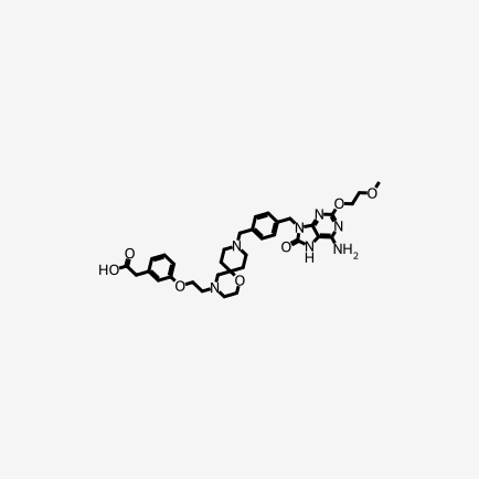 COCCOc1nc(N)c2[nH]c(=O)n(Cc3ccc(CN4CCC5(CC4)CN(CCOc4cccc(CC(=O)O)c4)CCO5)cc3)c2n1